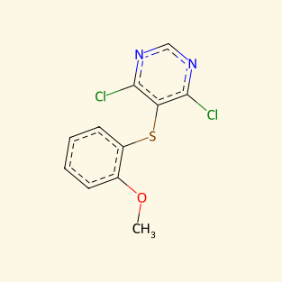 COc1ccccc1Sc1c(Cl)ncnc1Cl